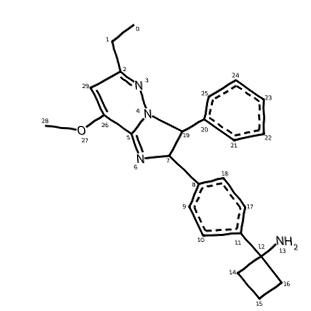 CCC1=NN2C(=NC(c3ccc(C4(N)CCC4)cc3)C2c2ccccc2)C(OC)=C1